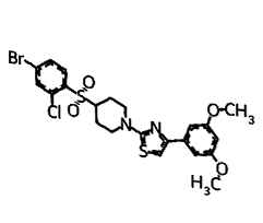 COc1cc(OC)cc(-c2csc(N3CCC(S(=O)(=O)c4ccc(Br)cc4Cl)CC3)n2)c1